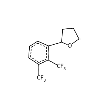 FC(F)(F)c1cccc(C2CC[CH]O2)c1C(F)(F)F